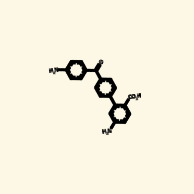 Nc1ccc(C(=O)c2ccc(-c3cc(N)ccc3C(=O)O)cc2)cc1